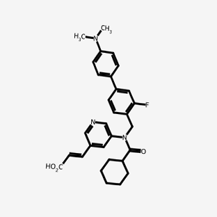 CN(C)c1ccc(-c2ccc(CN(C(=O)C3CCCCC3)c3cncc(C=CC(=O)O)c3)c(F)c2)cc1